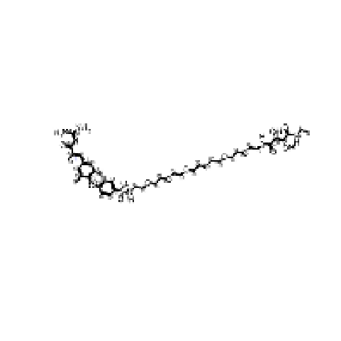 CCNC(=O)[C@H](O)[C@@H](O)C(=O)NCCOCCOCCOCCOCCOCCOCCNS(=O)(=O)c1ccc(Oc2c(F)cc(/C=C(\C)C(=O)N=C(N)N)cc2F)cc1